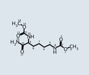 COC(=O)NCCCCC(NC(=O)OC)C(N)=O